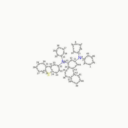 c1ccc(N(c2ccccc2)c2cc(N(c3ccccc3)c3ccc4sc5ccccc5c4c3)c3ccc4ccccc4c3c2)cc1